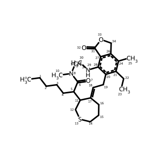 CCCCCC(C(=O)N(C)C)C1CSCCCC1=CCc1c(CC)c(C)c2c(c1NC)C(=O)OC2